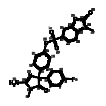 CN1C(=O)C(c2ccc(F)cc2)(c2ccc(OS(=O)(=O)c3ccc4c(c3)oc(=O)n4C)cc2)N=C1N